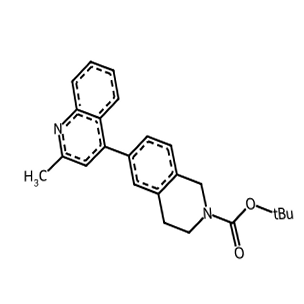 Cc1cc(-c2ccc3c(c2)CCN(C(=O)OC(C)(C)C)C3)c2ccccc2n1